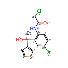 CCC(O)(c1ccsc1)c1cc(Br)ccc1NC(=O)CCl